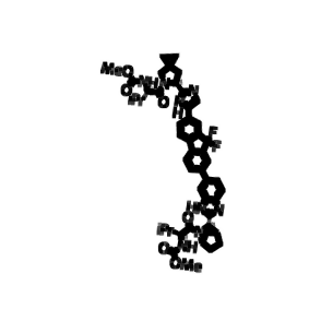 COC(=O)N[C@H](C(=O)N1CC2(CC2)C[C@H]1c1ncc(-c2ccc3c(c2)C(F)(F)c2cc(-c4ccc5nc([C@@H]6C7CCC(C7)N6C(=O)[C@@H](NC(=O)OC)C(C)C)[nH]c5c4)ccc2-3)[nH]1)C(C)C